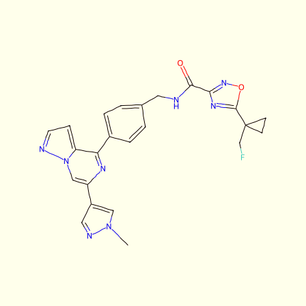 Cn1cc(-c2cn3nccc3c(-c3ccc(CNC(=O)c4noc(C5(CF)CC5)n4)cc3)n2)cn1